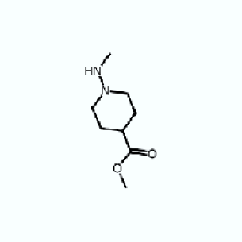 CNN1CCC(C(=O)OC)CC1